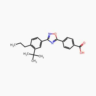 CCCc1ccc(-c2noc(-c3ccc(C(=O)O)cc3)n2)cc1C(C)(C)C